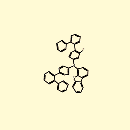 Fc1cc(N(c2ccc(-c3ccccc3-c3ccccc3)cc2)c2cccc3c2sc2ccccc23)ccc1-c1ccccc1-c1ccccc1